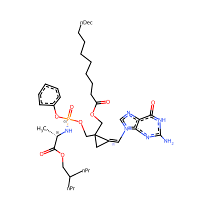 CCCCCCCCCCCCCCCCCC(=O)OCC1(CO[P@@](=O)(N[C@@H](C)C(=O)OCC(CCC)CCC)Oc2ccccc2)C/C1=C/n1cnc2c(=O)[nH]c(N)nc21